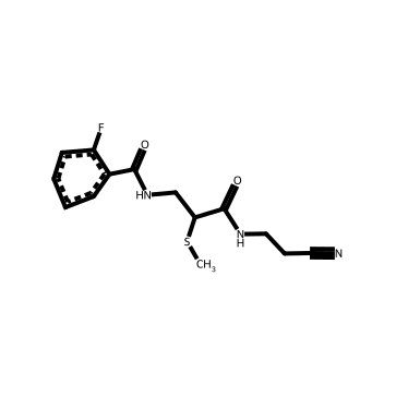 CSC(CNC(=O)c1ccccc1F)C(=O)NCCC#N